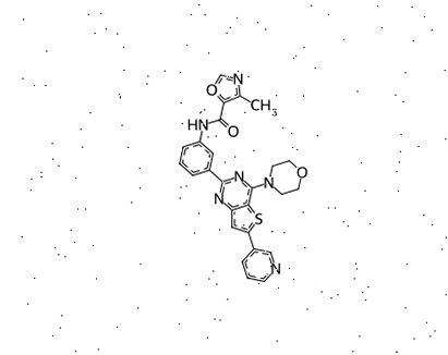 Cc1ncoc1C(=O)Nc1cccc(-c2nc(N3CCOCC3)c3sc(-c4cccnc4)cc3n2)c1